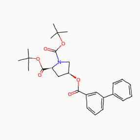 CC(C)(C)OC(=O)[C@@H]1C[C@H](OC(=O)c2cccc(-c3ccccc3)c2)CN1C(=O)OC(C)(C)C